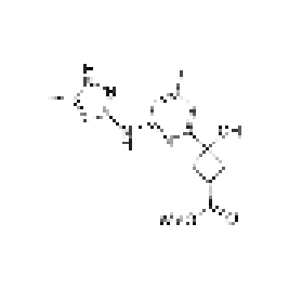 COC(=O)C1CC(O)(c2cc(C)cc(Nc3cc(C)[nH]n3)n2)C1